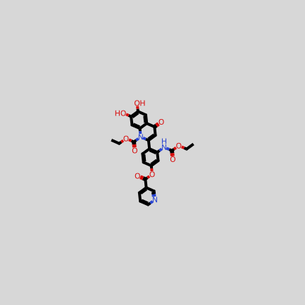 CCOC(=O)Nc1cc(OC(=O)c2cccnc2)ccc1-c1cc(=O)c2cc(O)c(O)cc2n1C(=O)OCC